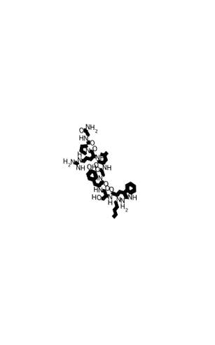 CCCCCN(N)C(Cc1c[nH]c2ccccc12)C(=O)NC(CO)C(=O)NC(Cc1ccc(O)cc1)C(=O)NCC(=O)NC(CC(C)C)C(=O)NC(CCCNC(=N)N)C(=O)N1CCC[C@H]1C(=O)NCC(N)=O